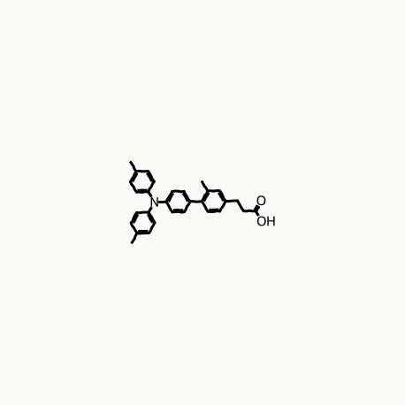 Cc1ccc(N(c2ccc(C)cc2)c2ccc(-c3ccc(CCC(=O)O)cc3C)cc2)cc1